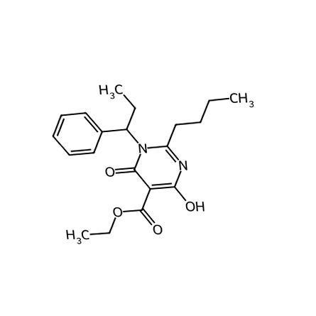 CCCCc1nc(O)c(C(=O)OCC)c(=O)n1C(CC)c1ccccc1